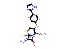 N[C@@H]1C(=O)N2C(C(=O)O)=C(Sc3ccc(-c4ncc[nH]4)cc3)CS[C@@H]12